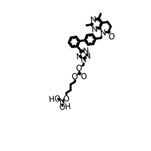 Cc1nc(C)c2c(n1)N(Cc1ccc(-c3ccccc3-c3nnn(COC(=O)OCCCCON(O)O)n3)cc1)C(=O)CC2